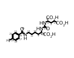 O=C(O)CC[C@H](NC(=O)N[C@@H](CCCCNC(=O)c1ccc(I)cc1)C(=O)O)C(=O)O